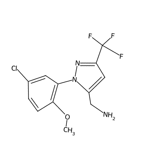 COc1ccc(Cl)cc1-n1nc(C(F)(F)F)cc1CN